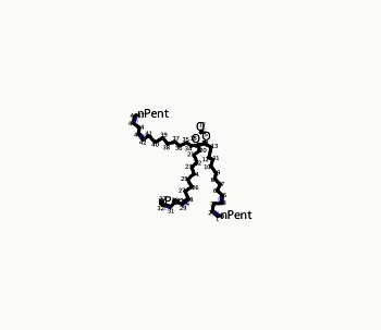 CCCCC/C=C\C/C=C\CCCCCCCCC1OC(=O)OC1(CCCCCCCC/C=C\C/C=C\CCCCC)CCCCCCCC/C=C\C/C=C\CCCCC